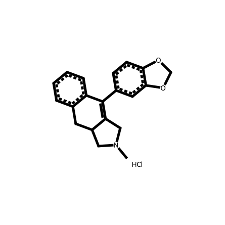 CN1CC2=C(c3ccc4c(c3)OCO4)c3ccccc3CC2C1.Cl